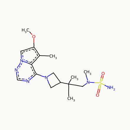 COc1cn2ncnc(N3CC(C(C)(C)CN(C)S(N)(=O)=O)C3)c2c1C